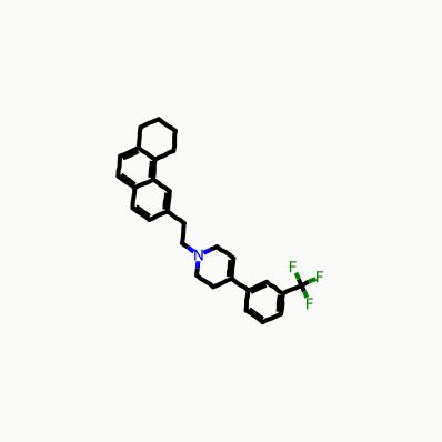 FC(F)(F)c1cccc(C2=CCN(CCc3ccc4ccc5c(c4c3)CCCC5)CC2)c1